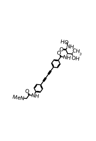 CNCC(=O)Nc1ccc(C#CC#Cc2ccc(C(=O)N[C@H](C(=O)NO)[C@@H](C)O)cc2)cc1